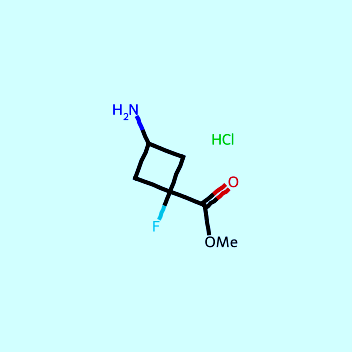 COC(=O)C1(F)CC(N)C1.Cl